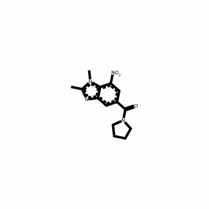 Cc1nc2cc(C(=O)N3CCCC3)cc([N+](=O)[O-])c2n1C